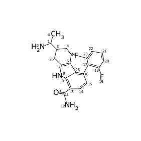 CC(N)C1CCc2c([nH]c3c(C(N)=O)ccc(-c4c(F)cccc4F)c23)C1